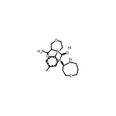 Cc1ccc([N+]2(C(=O)N=C3CCCCCCN3)CCOCC2C(N)=O)cc1.I